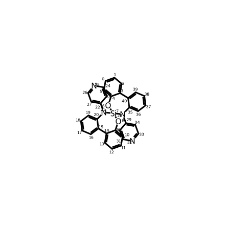 c1ccc2c(c1)O[Si]1(Oc3ccccc3-c3ccccc3N1c1ccncc1)N(c1ccncc1)c1ccccc1-2